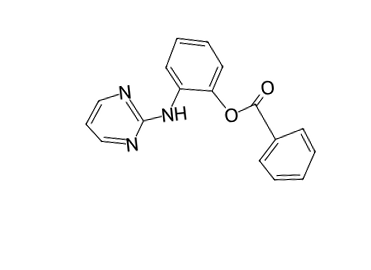 O=C(Oc1ccccc1Nc1ncccn1)c1ccccc1